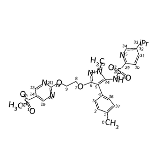 Cc1ccc(-c2c(OCCOc3ncc(S(C)(=O)=O)cn3)nn(C)c2NS(=O)(=O)c2ccc(C(C)C)cn2)cc1